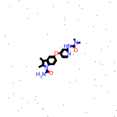 Cc1c(C)n(C(N)=O)c2ccc(Oc3ccnc(NC(=O)N(C)C)c3)cc12